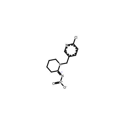 O=[N+]([O-])/N=C1\CCCCN1Cc1ccc(Cl)nc1